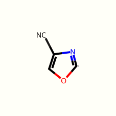 N#Cc1co[c]n1